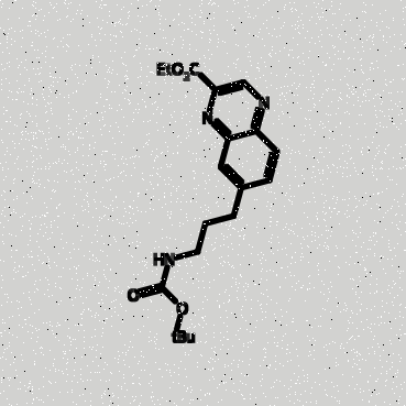 CCOC(=O)c1cnc2ccc(CCCNC(=O)OC(C)(C)C)cc2n1